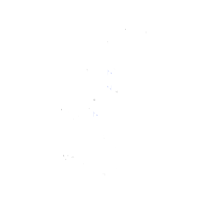 CSCC(C(=O)Nc1ccn(-c2ccccc2)n1)c1ccccc1